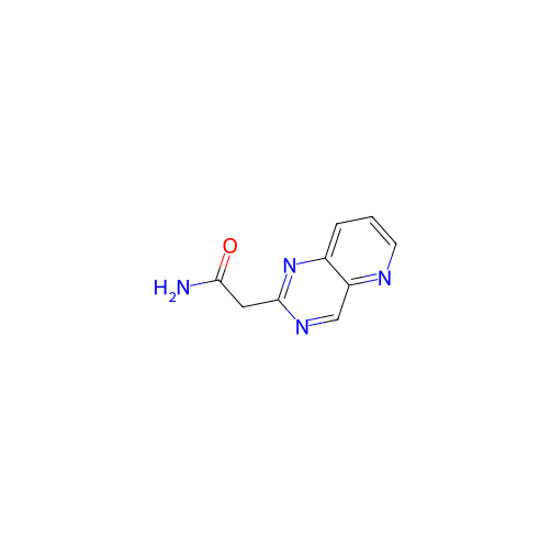 NC(=O)Cc1ncc2ncccc2n1